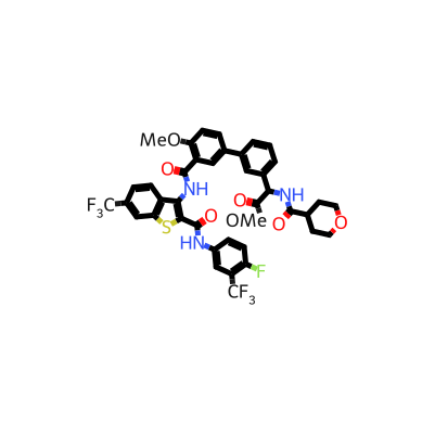 COC(=O)C(NC(=O)C1CCOCC1)c1cccc(-c2ccc(OC)c(C(=O)Nc3c(C(=O)Nc4ccc(F)c(C(F)(F)F)c4)sc4cc(C(F)(F)F)ccc34)c2)c1